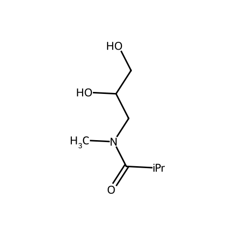 CC(C)C(=O)N(C)CC(O)CO